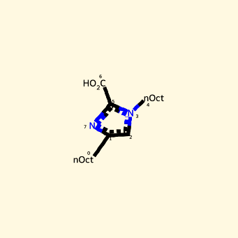 CCCCCCCCc1cn(CCCCCCCC)c(C(=O)O)n1